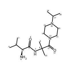 CC(C)[C@H](N)C(=O)NC(C)(C)C(=O)N1CCN(C(C)C)CC1